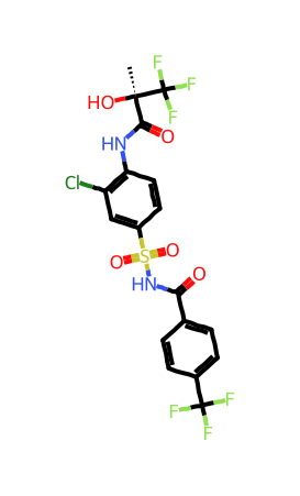 C[C@@](O)(C(=O)Nc1ccc(S(=O)(=O)NC(=O)c2ccc(C(F)(F)F)cc2)cc1Cl)C(F)(F)F